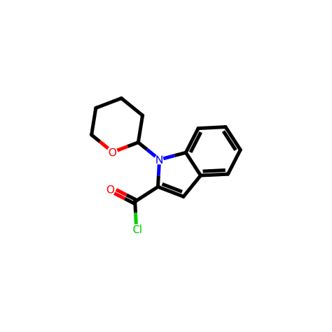 O=C(Cl)c1cc2ccccc2n1C1CCCCO1